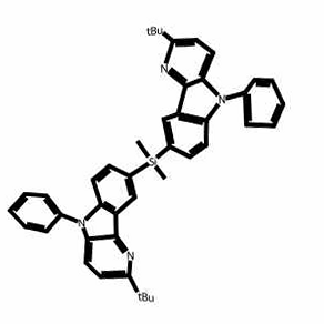 CC(C)(C)c1ccc2c(n1)c1cc([Si](C)(C)c3ccc4c(c3)c3nc(C(C)(C)C)ccc3n4-c3ccccc3)ccc1n2-c1ccccc1